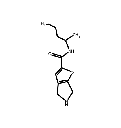 CCCC(C)NC(=O)c1cc2c(s1)CNC2